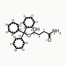 NC(=O)CCC(O)OC(c1ccccc1)(c1ccccc1)c1ccccc1